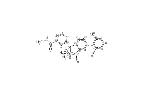 COC(=O)c1nccc([C@]23CC[C@@H](c4cc(-c5c(F)cccc5Cl)nnc42)C3(C)C)n1